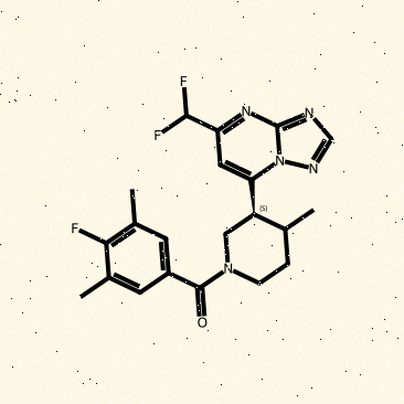 Cc1cc(C(=O)N2CCC(C)[C@H](c3cc(C(F)F)nc4ncnn34)C2)cc(C)c1F